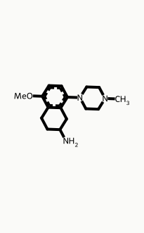 COc1ccc(N2CCN(C)CC2)c2c1CCC(N)C2